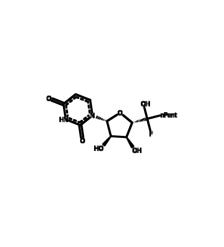 CCCCCC(O)(F)[C@H]1O[C@@H](n2ccc(=O)[nH]c2=O)[C@H](O)[C@@H]1O